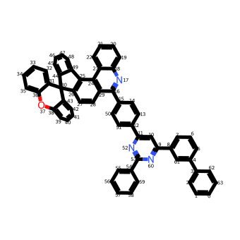 c1ccc(-c2cccc(-c3cc(-c4ccc(-c5nc6ccccc6c6c7c(ccc56)C5(c6ccccc6Oc6ccccc65)c5ccccc5-7)cc4)nc(-c4ccccc4)n3)c2)cc1